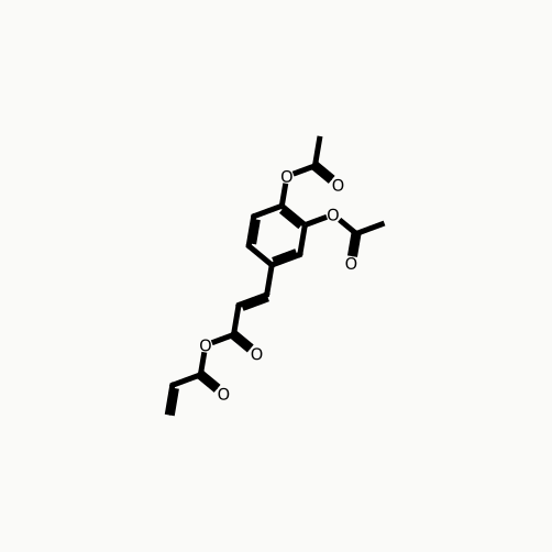 C=CC(=O)OC(=O)C=Cc1ccc(OC(C)=O)c(OC(C)=O)c1